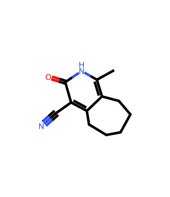 Cc1[nH]c(=O)c(C#N)c2c1CCCCC2